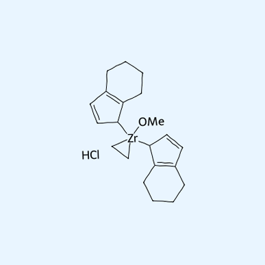 C[O][Zr]1([CH]2C=CC3=C2CCCC3)([CH]2C=CC3=C2CCCC3)[CH2][CH2]1.Cl